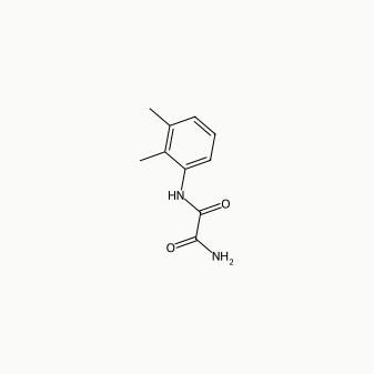 Cc1cccc(NC(=O)C(N)=O)c1C